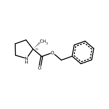 C[C@@]1(C(=O)OCc2ccccc2)CCCN1